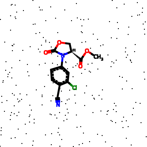 COC(=O)[C@H]1COC(=O)N1c1ccc(C#N)c(Cl)c1